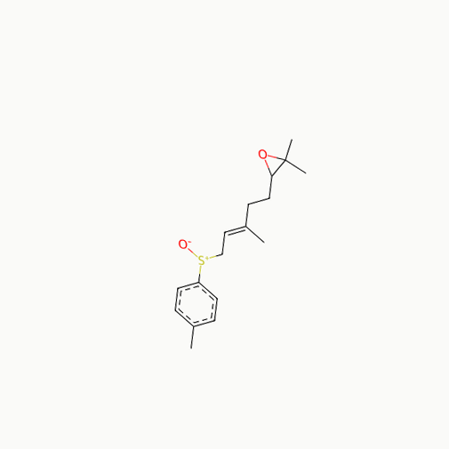 C/C(=C\C[S+]([O-])c1ccc(C)cc1)CCC1OC1(C)C